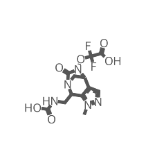 Cn1ncc2c1C(CNC(=O)O)N1CC2N(OC(F)(F)C(=O)O)C1=O